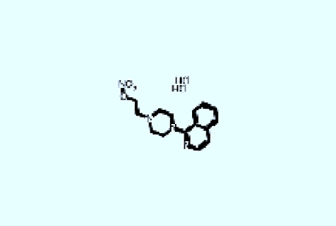 Cl.Cl.O=[N+]([O-])OCCN1CCN(c2nccc3ccccc23)CC1